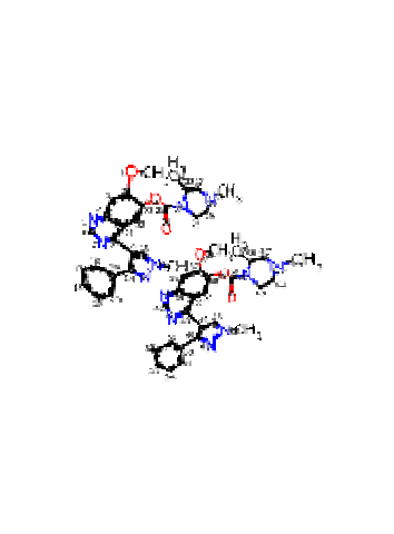 COc1cc2ncnc(-c3cn(C)nc3-c3ccccc3)c2cc1OC(=O)N1CCN(C)CC1C.COc1cc2ncnc(-c3cn(C)nc3-c3ccccc3)c2cc1OC(=O)N1CCN(C)C[C@@H]1C